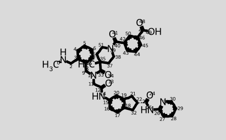 CNCc1ccccc1CN(CC(=O)Nc1ccc2c(c1)C[C@H](C(=O)Nc1ccccn1)C2)C(=O)C1(C)CCN(C(=O)c2cccc(C(=O)O)c2)CC1